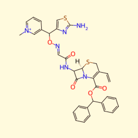 C=CC1=C(C(=O)OC(c2ccccc2)c2ccccc2)N2C(=O)C(NC(=O)C=NOC(c3ccc[n+](C)c3)c3csc(N)n3)[C@H]2SC1